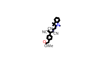 COC(=O)Cc1ccc(C(=C(C#N)C#N)/C(C#N)=C/C=C2/N(C)c3ccccc3C2(C)C)cc1